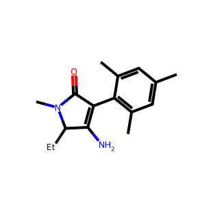 CCC1C(N)=C(c2c(C)cc(C)cc2C)C(=O)N1C